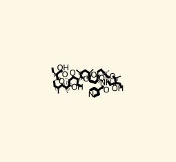 CCC(C(=O)[C@@H](C)[C@@H](O)[C@H](C)[C@@H]1O[C@@H]([C@@H](CC)C(=O)O)CC[C@@H]1C)[C@H]1O[C@]2(C=C[C@@H](NC(=O)c3ccncc3)[C@]3(CC[C@@](C)([C@H]4CC[C@](O)(CC)[C@H](C)O4)O3)O2)[C@H](C)C[C@@H]1C